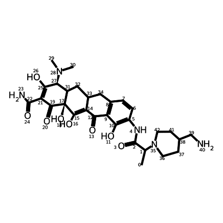 CC(C(=O)Nc1ccc2c(c1O)C(=O)C1=C(O)[C@]3(O)C(=O)C(C(N)=O)=C(O)[C@@H](N(C)C)C3CC1C2)N1CCC(CN)CC1